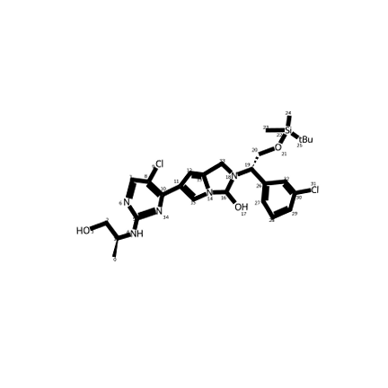 C[C@@H](CO)Nc1ncc(Cl)c(-c2cc3n(c2)C(O)N([C@H](CO[Si](C)(C)C(C)(C)C)c2cccc(Cl)c2)C3)n1